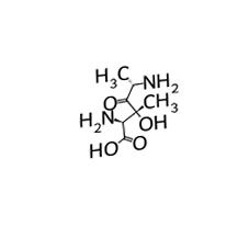 C[C@H](N)C(=O)[C@](C)(O)[C@H](N)C(=O)O